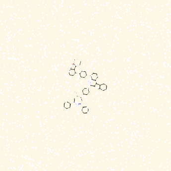 CCC1C=C(c2ccccc2)N=C(c2ccccc2)C=C1c1ccc(-c2nc3c(-c4ccc(-c5cccc6oc7c(c56)C=CCC7C)cc4)cccc3c3c2sc2ccccc23)cc1